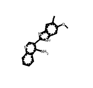 COc1cc2[nH]c(-c3cnc4ccccc4c3N)nc2cc1C